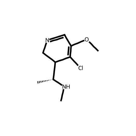 CN[C@H](C)C1CN=CC(OC)=C1Cl